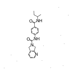 CCC(C)NC(=O)c1ccc(NC(=O)N2Cc3cccnc3C2)cc1